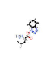 CC(C)C[C@H](N)C(=O)On1nnc2ccccc21